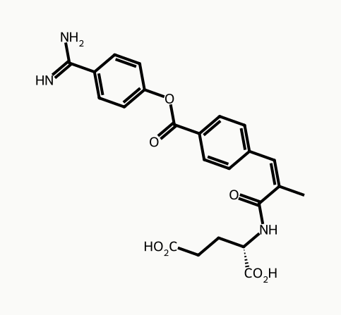 CC(=Cc1ccc(C(=O)Oc2ccc(C(=N)N)cc2)cc1)C(=O)N[C@@H](CCC(=O)O)C(=O)O